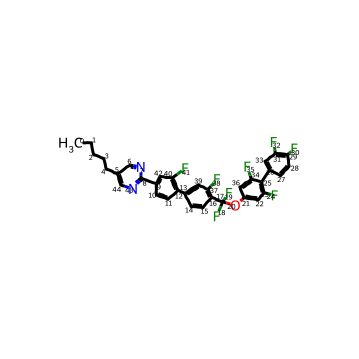 CCCCCc1cnc(-c2ccc(-c3ccc(C(F)(F)Oc4cc(F)c(-c5ccc(F)c(F)c5)c(F)c4)c(F)c3)c(F)c2)nc1